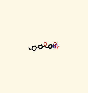 CC[C@H]1CC[C@H](c2ccc(C(=O)Cc3ccc([N+](=O)[O-])cc3)cc2)CC1